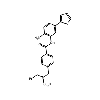 CC(C)CN(Cc1ccc(C(=O)Nc2cc(-c3cccs3)ccc2N)cc1)C(=O)O